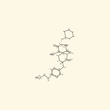 CCCCN1C(=O)[C@H](CC2CCCCC2)NC(=O)C12CCN(Cc1ccc(OCC(=O)O)cc1)CC2.Cl